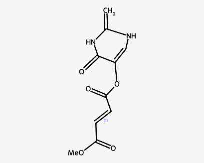 C=C1NC=C(OC(=O)/C=C/C(=O)OC)C(=O)N1